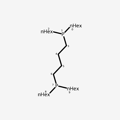 CCCCCCP(CCCCCC)CCCCP(CCCCCC)CCCCCC